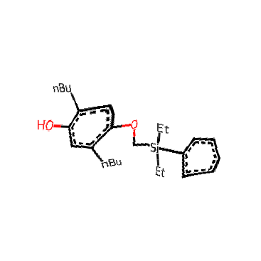 CCCCc1cc(OC[Si](CC)(CC)c2ccccc2)c(CCCC)cc1O